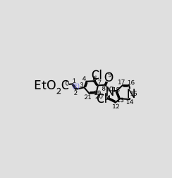 CCOC(=O)/C=C/c1cc(Cl)c(C(=O)n2ccc3cnccc32)c(Cl)c1